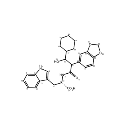 O=C(N[C@@H](Cc1c[nH]c2ccccc12)C(=O)O)C(c1ccc2c(c1)OCO2)C(O)C1CCCCC1